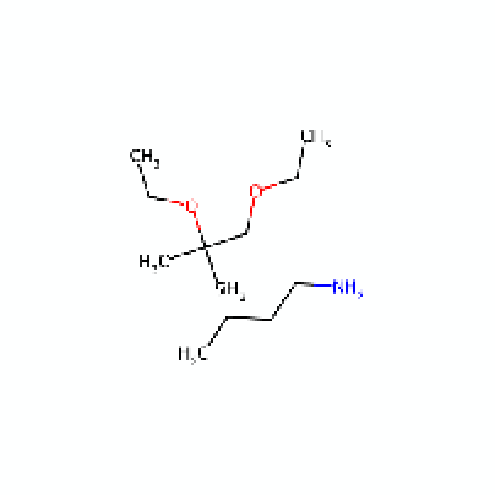 CCCCN.CCOCC(C)([SiH3])OCC